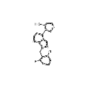 Cc1ccncc1-c1ccnc2c1cnn2Cc1c(F)cccc1Cl